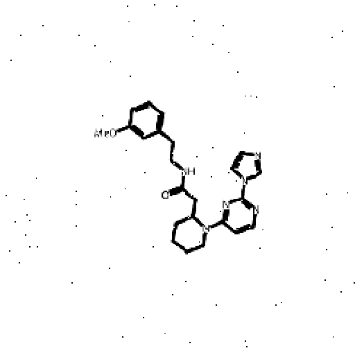 COc1cccc(CCNC(=O)CC2CCCCN2c2ccnc(-n3ccnc3)n2)c1